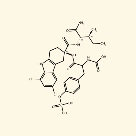 CC[C@H](C)[C@H](NC(=O)[C@@]1(NC(=O)C(Cc2ccc(OP(=O)(O)O)cc2)NC(=O)O)CCc2[nH]c3c(Cl)cc(Cl)cc3c2C1)C(N)=O